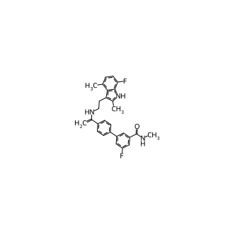 C=C(NCCc1c(C)[nH]c2c(F)ccc(C)c12)c1ccc(-c2cc(F)cc(C(=O)NC)c2)cc1